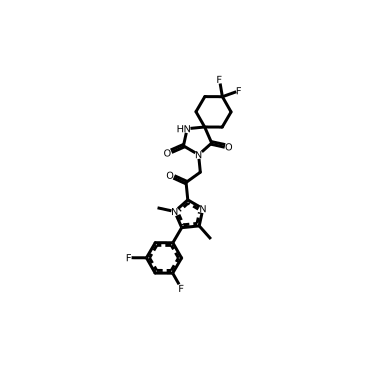 Cc1nc(C(=O)CN2C(=O)NC3(CCC(F)(F)CC3)C2=O)n(C)c1-c1cc(F)cc(F)c1